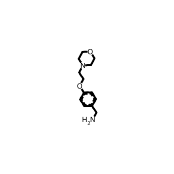 NCc1ccc(OCCN2CCOCC2)cc1